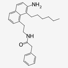 CCCCCCc1c(N)ccc2cccc(CCNC(=O)Cc3ccccc3)c12